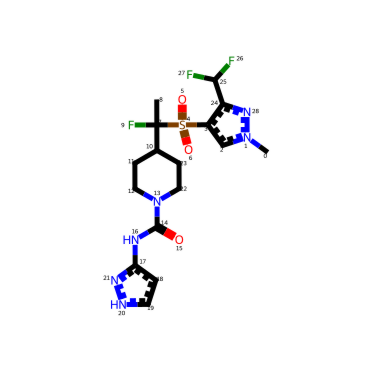 Cn1cc(S(=O)(=O)C(C)(F)C2CCN(C(=O)Nc3cc[nH]n3)CC2)c(C(F)F)n1